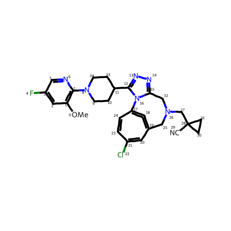 COc1cc(F)cnc1N1CCC(c2nnc3n2C2=C=C(C=C(Cl)C=C2)CN(CC2(C#N)CC2)C3)CC1